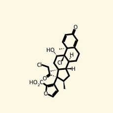 C[C@@H]1C[C@H]2[C@@H]3CCC4=CC(=O)C=C[C@]4(C)[C@@]3(Cl)[C@@H](O)C[C@]2(C)[C@]1(C(=O)CCl)c1ccoc1C(=O)O